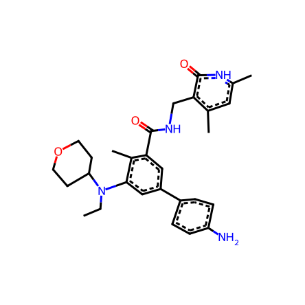 CCN(c1cc(-c2ccc(N)cc2)cc(C(=O)NCc2c(C)cc(C)[nH]c2=O)c1C)C1CCOCC1